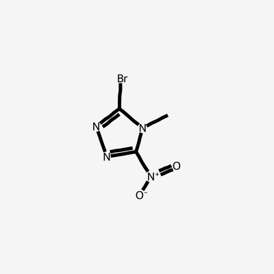 Cn1c(Br)nnc1[N+](=O)[O-]